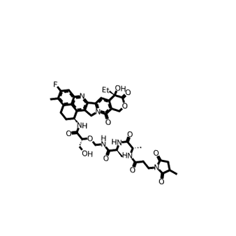 CC[C@@]1(O)C(=O)OCc2c1cc1n(c2=O)Cc2c-1nc1cc(F)c(C)c3c1c2[C@@H](NC(=O)[C@@H](CO)OCNC(=O)[C@H](C)NC(=O)[C@H](C)NC(=O)CCN1C(=O)CC(C)C1=O)CC3